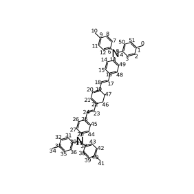 Cc1ccc(N(c2ccc(C)cc2)c2ccc(/C=C/C3=CC=C(/C=C/c4ccc(N(c5ccc(C)cc5)c5ccc(C)cc5)cc4)CC3)cc2)cc1